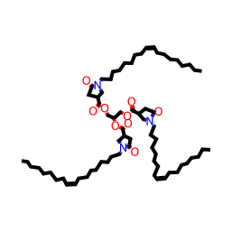 CCCCCCCC/C=C\CCCCCCCCN1CC(C(=O)OCC(COC(=O)C2CC(=O)N(CCCCCCCC/C=C\CCCCCCCC)C2)OC(=O)C2CC(=O)N(CCCCCCCC/C=C\CCCCCCCC)C2)CC1=O